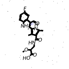 COC(CNC(=O)c1c(C)[nH]c(/C=C(\C=O)c2cc(F)ccc2N)c1C)C(=O)O